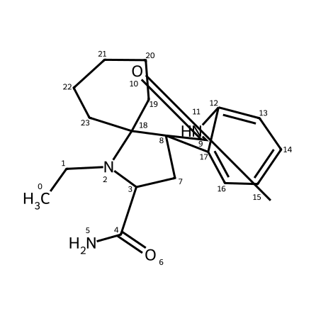 CCN1C(C(N)=O)CC2(C(=O)Nc3ccccc32)C12CCCCC2